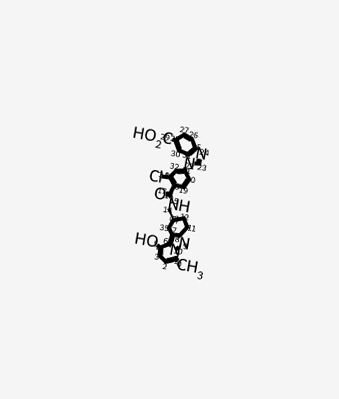 Cc1ccc(O)c2c3c(nn12)CC[C@H](CNC(=O)c1ccc(-n2cnc4ccc(C(=O)O)cc42)cc1Cl)C3